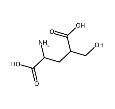 NC(CC(CO)C(=O)O)C(=O)O